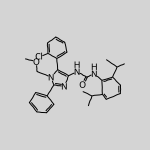 COCn1c(-c2ccccc2)nc(NC(=O)Nc2c(C(C)C)cccc2C(C)C)c1-c1ccccc1Cl